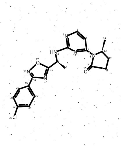 C[C@H](Nc1nccc(N2C(=O)CC[C@@H]2C)n1)c1nc(-c2ccc(Cl)cc2)no1